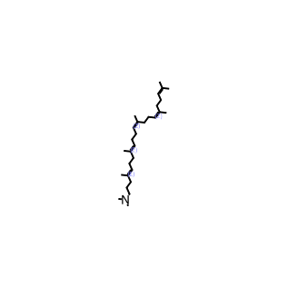 CC(C)=CCC/C(C)=C\CC/C(C)=C\CC/C=C(\C)CC/C=C(\C)CCCN(C)C